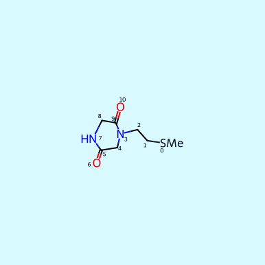 CSCCN1CC(=O)NCC1=O